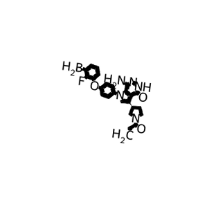 Bc1cccc(Oc2ccc(-n3cc([C@@H]4CCN(C(=O)C=C)C4)c4c(=O)[nH]nc(N)c43)cc2)c1F